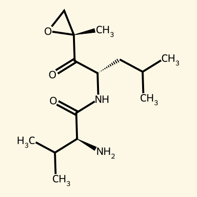 CC(C)C[C@H](NC(=O)[C@@H](N)C(C)C)C(=O)[C@@]1(C)CO1